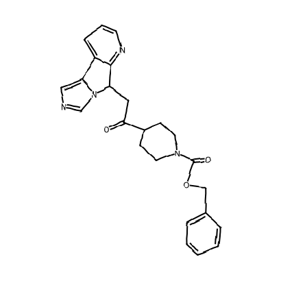 O=C(CC1c2ncccc2-c2cncn21)C1CCN(C(=O)OCc2ccccc2)CC1